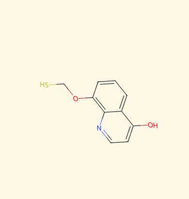 Oc1ccnc2c(OCS)cccc12